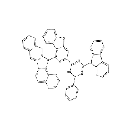 c1ccc(C2N=C(n3c4ccccc4c4ccccc43)N=C(c3cc(-n4c5cc6ccccc6cc5c5ccc6ccccc6c54)c4c(c3)oc3ccccc34)N2)cc1